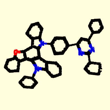 c1ccc(-c2cc(-c3ccc(-n4c5ccccc5c5c6oc7ccccc7c6c6c(c7ccccc7n6-c6ccccc6)c54)cc3)nc(-c3ccccc3)n2)cc1